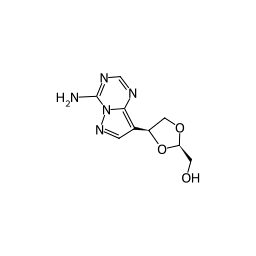 Nc1ncnc2c([C@H]3CO[C@@H](CO)O3)cnn12